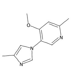 COc1cc(C)ncc1-n1cnc(C)c1